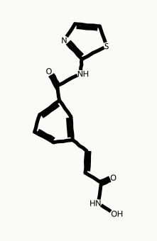 O=C(C=Cc1cccc(C(=O)Nc2nccs2)c1)NO